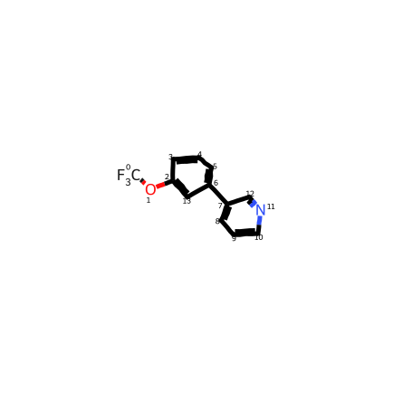 FC(F)(F)Oc1cccc(-c2cccnc2)c1